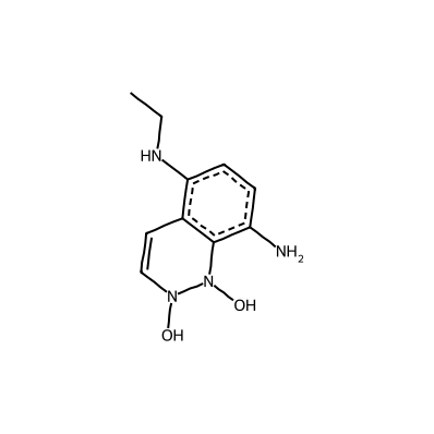 CCNc1ccc(N)c2c1C=CN(O)N2O